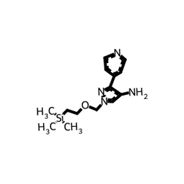 C[Si](C)(C)CCOCn1cc(N)c(-c2ccncc2)n1